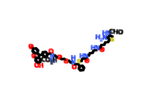 N[C@@H]1C(CCCCC(=O)NCCCCCNC(=O)CCSC(C(=O)NCCOCCOCCNC(=O)c2ccc(-c3c4ccc(=O)cc-4oc4cc(O)ccc34)c(C(=O)O)c2)c2ccccc2)SC[C@@H]1NC=O